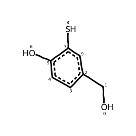 OCc1ccc(O)c(S)c1